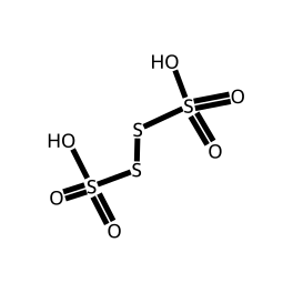 O=S(=O)(O)SSS(=O)(=O)O